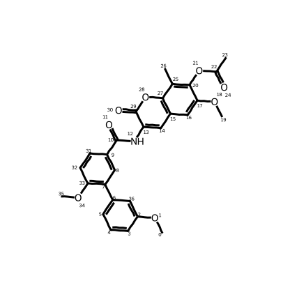 COc1cccc(-c2cc(C(=O)Nc3cc4cc(OC)c(OC(C)=O)c(C)c4oc3=O)ccc2OC)c1